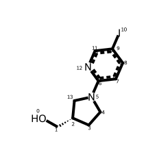 OC[C@H]1CCN(c2ccc(I)cn2)C1